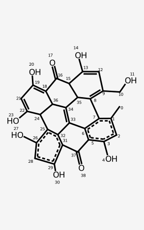 Cc1cc(O)c2c3c1C1=C(CO)C=C(O)C4C(=O)C5=C(O)C=C(O)C6c7c(O)cc(O)c(c7C3=C(C14)C56)C2=O